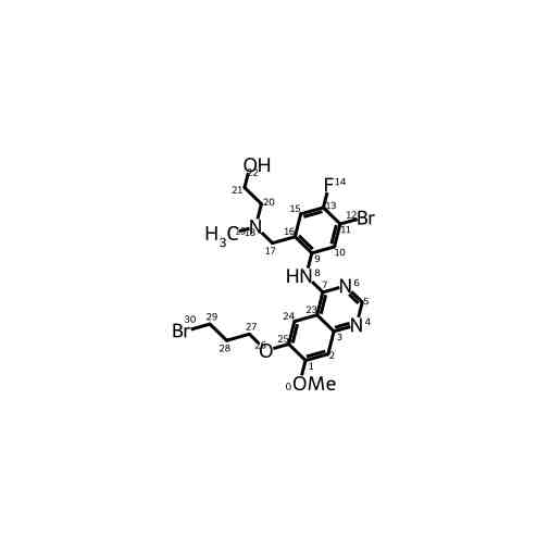 COc1cc2ncnc(Nc3cc(Br)c(F)cc3CN(C)CCO)c2cc1OCCCBr